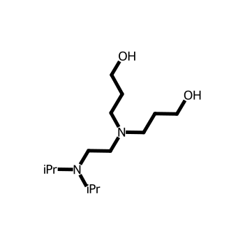 CC(C)N(CCN(CCCO)CCCO)C(C)C